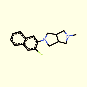 CN1CC2CN(c3cc4ccccc4cc3F)CC2C1